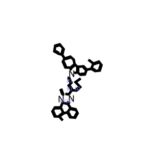 C=C/N=C1\C(=N/C(C)C(/C=C\CC)=C/C=C/n2c3c(c4cc(-c5ccccc5C)ccc42)CC=C(c2ccccc2)C=C3)c2ccccc2-c2c(C)cccc21